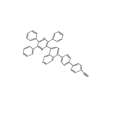 N#Cc1ccc(-c2ccc(-c3ccc(-c4nc(-c5ccccc5)c(-c5ccccc5)nc4-c4ccccc4)c4ccccc34)cc2)cc1